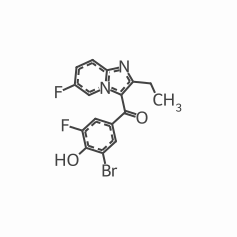 CCc1nc2ccc(F)cn2c1C(=O)c1cc(F)c(O)c(Br)c1